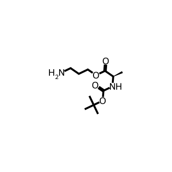 C[C@@H](NC(=O)OC(C)(C)C)C(=O)OCCCN